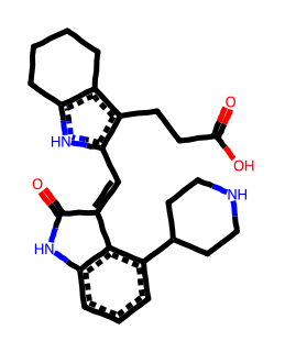 O=C(O)CCc1c(C=C2C(=O)Nc3cccc(C4CCNCC4)c32)[nH]c2c1CCCC2